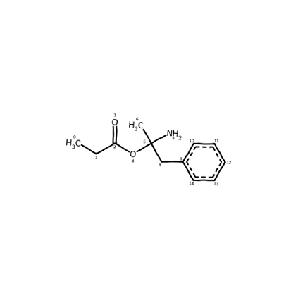 CCC(=O)OC(C)(N)Cc1ccccc1